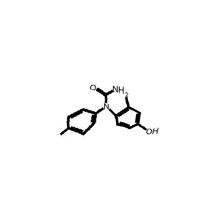 Cc1ccc(N(C(N)=O)c2ccc(O)cc2C)cc1